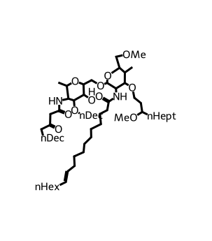 CCCCCCC=CCCCCCCCCCC(=O)NC1C(OCC2OC(C)C(NC(=O)CC(=O)CCCCCCCCCCC)C(OCCCCCCCCCC)C2O)OC(COC)C(C)C1OCCC(CCCCCCC)OC